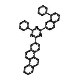 c1ccc(-c2nc(-c3ccc4c(ccc5c6ccccc6ccc45)c3)nc(-c3ccc4cccc(-c5ccccc5)c4c3)n2)cc1